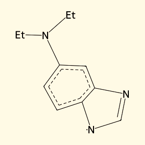 CCN(CC)c1ccc2c(c1)N=C[N]2